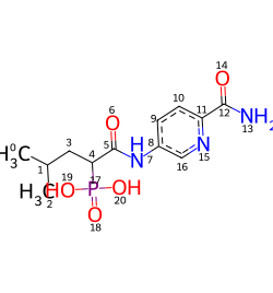 CC(C)CC(C(=O)Nc1ccc(C(N)=O)nc1)P(=O)(O)O